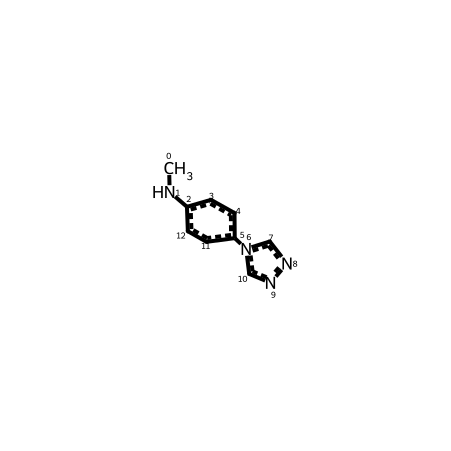 CNc1ccc(-n2cnnc2)cc1